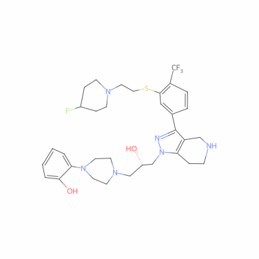 Oc1ccccc1N1CCN(C[C@H](O)Cn2nc(-c3ccc(C(F)(F)F)c(SCCN4CCC(F)CC4)c3)c3c2CCNC3)CC1